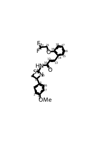 COc1ccc(C2CSC(NC(=O)/C=C/c3ccccc3OCC(F)F)=N2)cc1